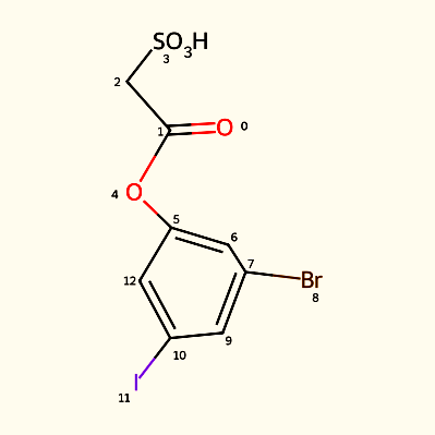 O=C(CS(=O)(=O)O)Oc1cc(Br)cc(I)c1